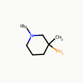 CC1(P)CCCN(C(C)(C)C)C1